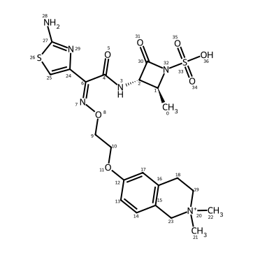 C[C@H]1[C@H](NC(=O)/C(=N\OCCOc2ccc3c(c2)CC[N+](C)(C)C3)c2csc(N)n2)C(=O)N1S(=O)(=O)O